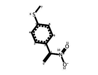 C=C(c1ccc(SC)cc1)[N+](=O)[O-]